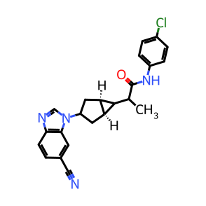 CC(C(=O)Nc1ccc(Cl)cc1)C1[C@H]2CC(n3cnc4ccc(C#N)cc43)C[C@@H]12